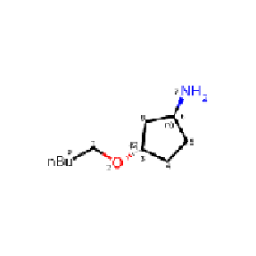 CCCCCO[C@H]1CC[C@H](N)C1